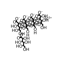 O=C([O-])[C@H](O)[C@@H](O)[C@H](O)[C@H](O)CO.O=C([O-])[C@H](O)[C@@H](O)[C@H](O)[C@H](O)CO.O=C([O-])[C@H](O)[C@@H](O)[C@H](O)[C@H](O)CO.O=C([O-])[C@H](O)[C@@H](O)[C@H](O)[C@H](O)CO.O=C([O-])[C@H](O)[C@@H](O)[C@H](O)[C@H](O)CO.[Tc+5]